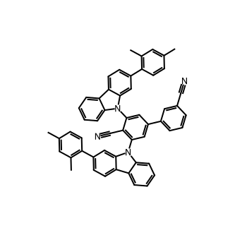 Cc1ccc(-c2ccc3c4ccccc4n(-c4cc(-c5cccc(C#N)c5)cc(-n5c6ccccc6c6ccc(-c7ccc(C)cc7C)cc65)c4C#N)c3c2)c(C)c1